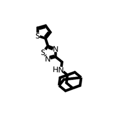 c1csc(-c2nc(CNC34CC5CC(CC(C5)C3)C4)ns2)c1